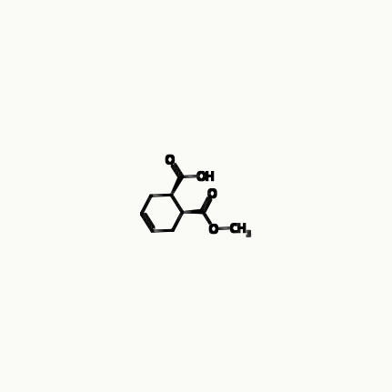 COC(=O)[C@H]1CC=CC[C@H]1C(=O)O